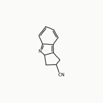 N#CC1CC2=c3ccccc3=NC2C1